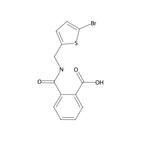 O=C(O)c1ccccc1C(=O)[N]Cc1ccc(Br)s1